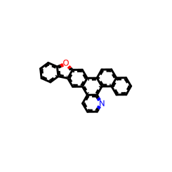 c1ccc2c(c1)ccc1c3cc4oc5ccccc5c4cc3c3cccnc3c21